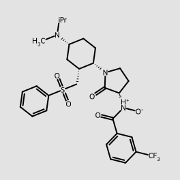 CC(C)N(C)[C@@H]1CC[C@H](N2CC[C@H]([NH+]([O-])C(=O)c3cccc(C(F)(F)F)c3)C2=O)[C@H](CS(=O)(=O)c2ccccc2)C1